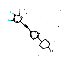 CCC1CCC(c2ccc(C#Cc3cc(F)c(F)c(F)c3)cc2)CC1